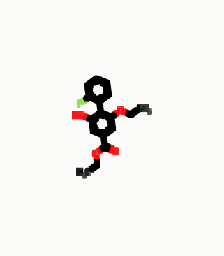 CCOC(=O)c1cc(O)c(-c2ccccc2F)c(OCC)c1